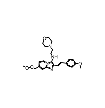 COOCc1ccn2c(NCCN3CCOCC3)c(/C=C/c3ccc(OC)cc3)nc2c1